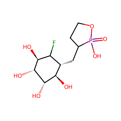 O=P1(O)OCCC1C[C@H]1C(F)[C@H](O)[C@@H](O)[C@@H](O)[C@@H]1O